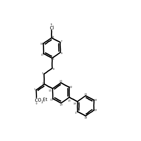 CCOC(=O)C=C(CCc1ccc(Cl)cc1)c1ccc(-c2ccccc2)cc1